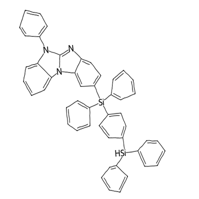 c1ccc(-n2c3ccccc3n3c4cc([Si](c5ccccc5)(c5ccccc5)c5ccc([SiH](c6ccccc6)c6ccccc6)cc5)ccc4nc23)cc1